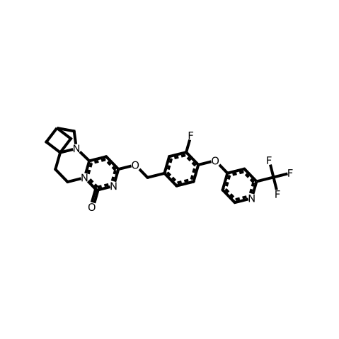 O=c1nc(OCc2ccc(Oc3ccnc(C(F)(F)F)c3)c(F)c2)cc2n1CCC13CC(CN21)C3